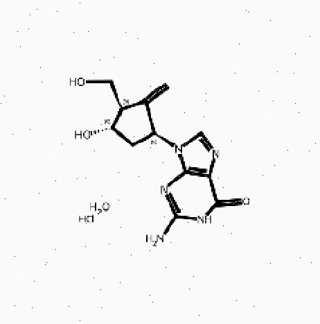 C=C1[C@H](CO)[C@@H](O)C[C@@H]1n1cnc2c(=O)[nH]c(N)nc21.Cl.O